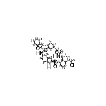 CC(Cl)c1ccc(NC(=O)OCc2ccccc2)c2c(NC(=O)c3cc4cc(NC(=O)c5cc6ccccc6o5)ccc4[nH]3)cccc12